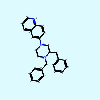 c1ccc(CC2CN(c3ccc4ncccc4c3)CCN2Cc2ccccc2)cc1